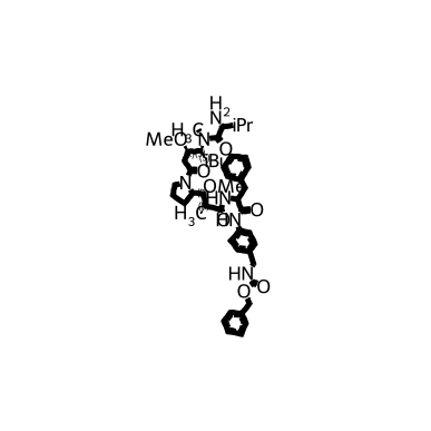 CC[C@H](C)[C@@H]([C@@H](CC(=O)N1CCCC1[C@H](OC)[C@@H](C)C(=O)NC(Cc1ccccc1)C(=O)Nc1ccc(CNC(=O)OCc2ccccc2)cc1)OC)N(C)C(=O)C(N)C(C)C